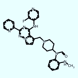 CNc1ccccc1N(C=O)C1CCN(Cc2ccn3nc(-c4ccccn4)nc(Nc4ccncc4F)c23)CC1